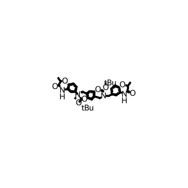 CC1Oc2ccc(CN(Cc3ccc(C[N+](C)(C(=O)OC(C)(C)C)c4ccc5c(c4)NC(=O)C(C)O5)cc3)C(=O)OC(C)(C)C)cc2NC1=O